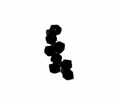 C1=CC2OC3=C(N4C5=C(CC(c6cccc7c6C6C=CC=CC6N7c6ccc7oc8c(c7c6)C=CCC8)C=C5)C5CCC=CC54)CCC=C3C2C=C1